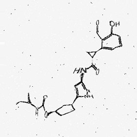 CC(C)NC(=O)O[C@@H]1CC[C@H](c2cc(NC(=O)[C@@H]3C[C@H]3c3cccc(O)c3C=O)n[nH]2)C1